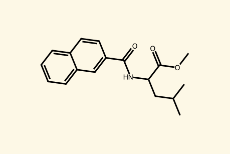 COC(=O)C(CC(C)C)NC(=O)c1ccc2ccccc2c1